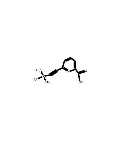 C[Si](C)(C)C#Cc1cccc(C(=O)O)n1